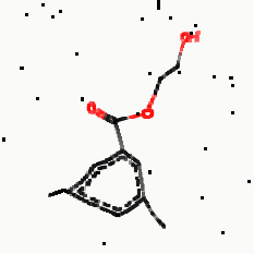 Cc1cc(C)cc(C(=O)OCCO)c1